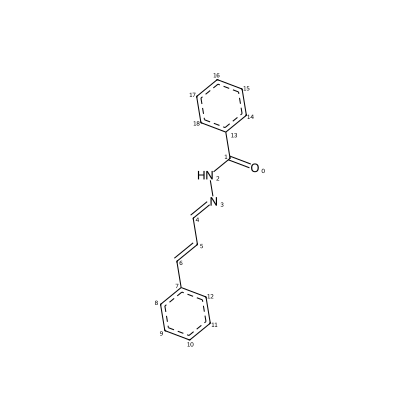 O=C(NN=CC=Cc1ccccc1)c1ccccc1